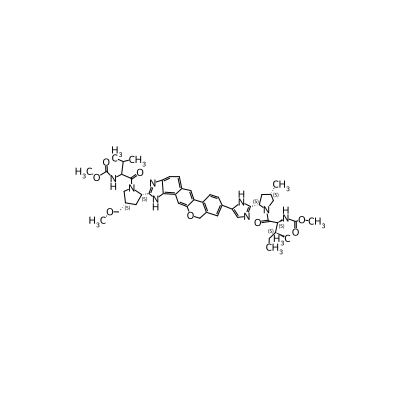 CC[C@H](C)[C@H](NC(=O)OC)C(=O)N1C[C@@H](C)C[C@H]1c1ncc(-c2ccc3c(c2)COc2cc4c(ccc5nc([C@@H]6C[C@H](COC)CN6C(=O)C(NC(=O)OC)C(C)C)[nH]c54)cc2-3)[nH]1